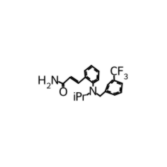 CC(C)N(Cc1cccc(C(F)(F)F)c1)c1ccccc1C=CC(N)=O